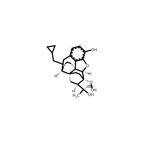 CC(C)(C)[C@@](C)(O)[C@H]1C[C@@]23CC[C@@]1(OO)[C@@H]1Oc4c(O)ccc5c4[C@@]12CCN(CC1CC1)[C@@H]3C5